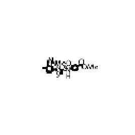 COC(=O)c1ccc(NSc2csc(-c3ccc(C)c4cnn(C)c34)n2)c(OC)c1